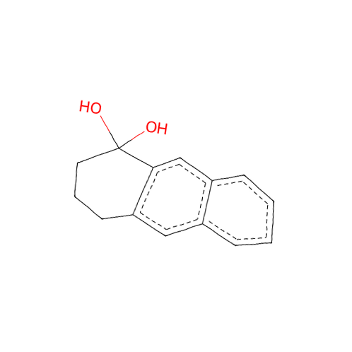 OC1(O)CCCc2cc3ccccc3cc21